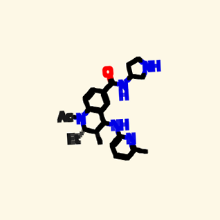 CC[C@H]1[C@H](C)C(Nc2cccc(C)n2)c2cc(C(=O)NC3CCNC3)ccc2N1C(C)=O